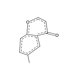 Cc1ccc2occc(=O)c2c1